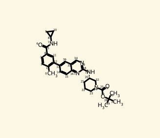 Cc1ccc(C(=O)NC2CC2)cc1-c1ccc2nc(N[C@H]3CCCN(C(=O)OC(C)(C)C)C3)ncc2c1